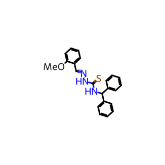 COc1ccccc1/C=N/NC(=S)NC(c1ccccc1)c1ccccc1